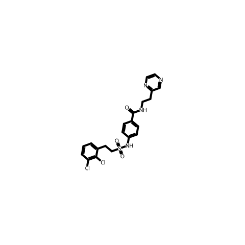 O=C(NCCc1cnccn1)c1ccc(NS(=O)(=O)CCc2cccc(Cl)c2Cl)cc1